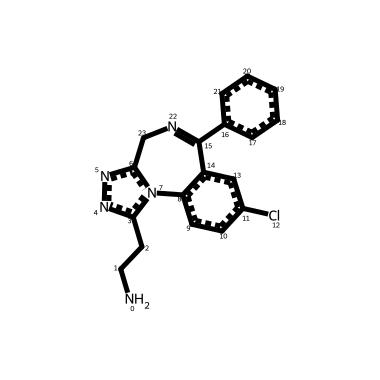 NCCc1nnc2n1-c1ccc(Cl)cc1C(c1ccccc1)=NC2